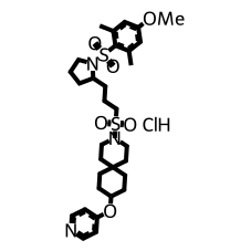 COc1cc(C)c(S(=O)(=O)N2CCCC2CCCS(=O)(=O)N2CCC3(CCC(Oc4ccncc4)CC3)CC2)c(C)c1.Cl